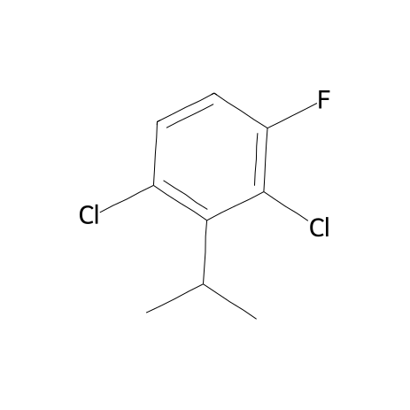 CC(C)c1c(Cl)ccc(F)c1Cl